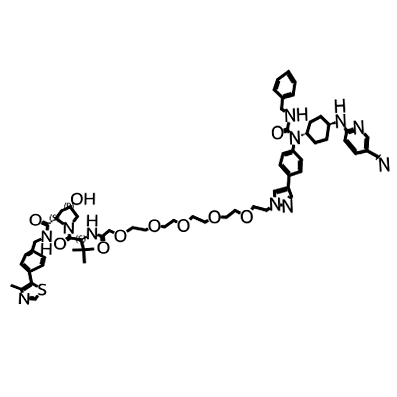 Cc1ncsc1-c1ccc(CNC(=O)[C@@H]2C[C@@H](O)CN2C(=O)[C@@H](NC(=O)COCCOCCOCCOCCOCCn2cc(-c3ccc(N(C(=O)NCc4ccccc4)[C@H]4CC[C@H](Nc5ccc(C#N)cn5)CC4)cc3)cn2)C(C)(C)C)cc1